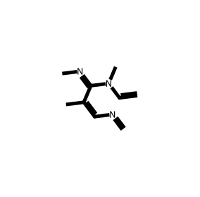 C=CN(C)C(=N/C)/C(C)=C\N=C